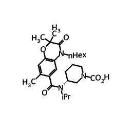 CCCCCCN1C(=O)C(C)(C)Oc2cc(C)c(C(=O)N(C(C)C)[C@@H]3CCCN(C(=O)O)C3)cc21